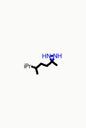 CC(C)C(C)CCC1(C)NN1